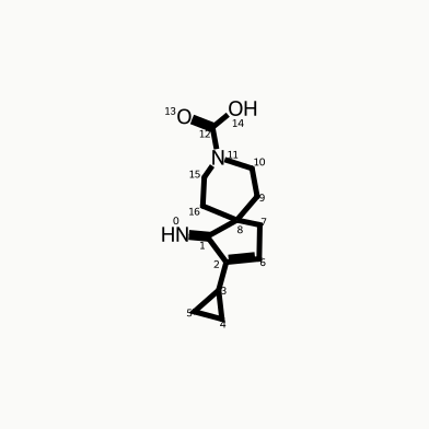 N=C1C(C2CC2)=CCC12CCN(C(=O)O)CC2